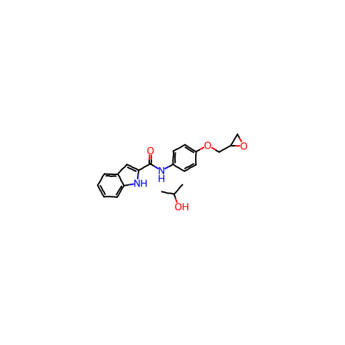 CC(C)O.O=C(Nc1ccc(OCC2CO2)cc1)c1cc2ccccc2[nH]1